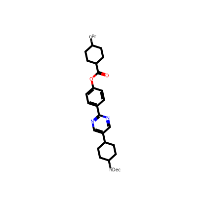 CCCCCCCCCCC1CCC(c2cnc(-c3ccc(OC(=O)C4CCC(CCC)CC4)cc3)nc2)CC1